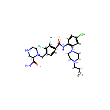 NC(=O)C1CNCCN1Cc1ccc(C(=O)Nc2ccc(Cl)cc2N2CCN(CCC(F)(F)F)CC2)c(F)c1F